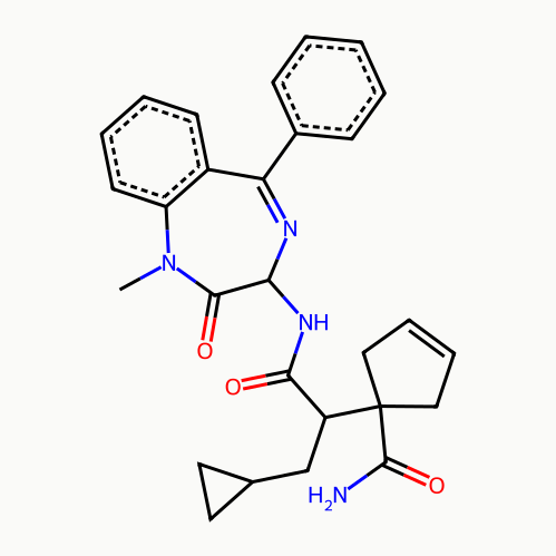 CN1C(=O)C(NC(=O)C(CC2CC2)C2(C(N)=O)CC=CC2)N=C(c2ccccc2)c2ccccc21